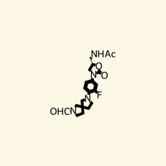 CC(=O)NC[C@H]1CN(c2ccc(N3CCC4(CCN(C=O)C4)C3)c(F)c2)C(=O)O1